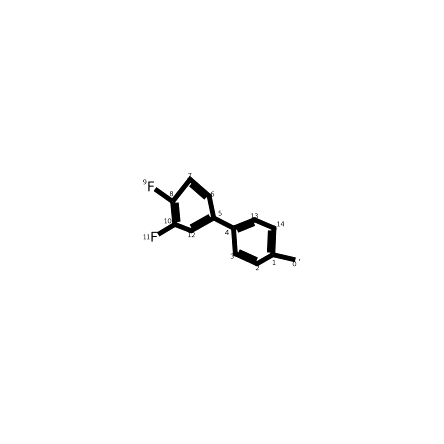 [CH2]c1ccc(-c2ccc(F)c(F)c2)cc1